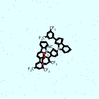 N#Cc1c(-n2c3ccccc3c3ccc(-c4cc(C(F)(F)F)cc(C(F)(F)F)c4)cc32)ccc(-c2c(C(F)(F)F)cccc2C(F)(F)F)c1-n1c2ccccc2c2ccc(-c3cc(C(F)(F)F)cc(C(F)(F)F)c3)cc21